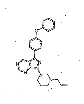 C=CCN1CCC[C@@H](n2nc(-c3ccc(Oc4ccccc4)cc3)c3cncnc32)C1